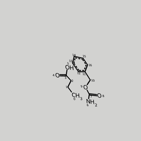 CCCC(=O)O.NC(=O)OCc1ccccc1